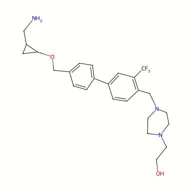 NCC1CC1OCc1ccc(-c2ccc(CN3CCN(CCO)CC3)c(C(F)(F)F)c2)cc1